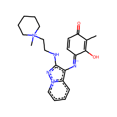 CC1=C(O)/C(=N/c2c(NCC[N+]3(C)CCCCC3)nn3ccccc23)C=CC1=O